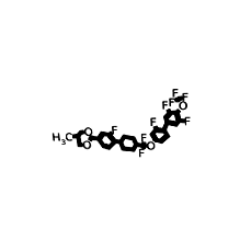 CC1COC(c2ccc(C3CCC(C(F)(F)Oc4ccc(-c5cc(F)c(OC(F)(F)F)c(F)c5)c(F)c4)CC3)c(F)c2)OC1